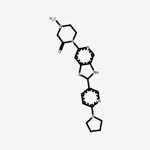 CN1CCN(c2cc3c(cn2)NC(c2ccc(N4CCCC4)nc2)S3)C(=O)C1